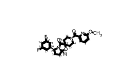 COc1cccc(C(=O)N2CCC3(CC2)O[C@@H]2CC[C@@H](c4cc(F)cc(F)c4)N2C3=O)n1